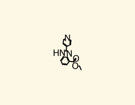 CCOC(=O)c1cccc2[nH]c(-c3ccncc3)nc12